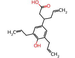 C=CCc1cc(C(CC=C)CC(=O)O)cc(CC=C)c1O